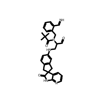 CC(C)(C)C(=O)N(Cc1ccccc1C=N)C(C=O)CNc1ccc2c(c1)CC1(C2)C(=O)Nc2ncccc21